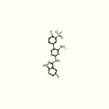 CS(=O)(=O)c1cc(-c2cnc(Nc3n[nH]c4ncc(F)cc34)nc2N)ccc1F